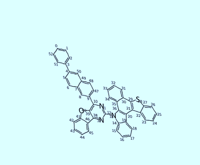 c1ccc(-c2ccc3cc(-c4nc(-n5c6ccccc6c6c7c8ccccc8sc7c7ccccc7c65)nc5c4oc4ccccc45)ccc3c2)cc1